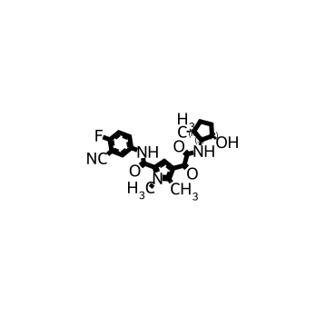 Cc1c(C(=O)C(=O)N[C@H]2[C@H](C)CC[C@H]2O)cc(C(=O)Nc2ccc(F)c(C#N)c2)n1C